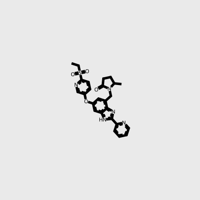 CCS(=O)(=O)c1ccc(Oc2cc(CN3C(=O)CCC3C)c3nc(-c4ccccn4)[nH]c3c2)cn1